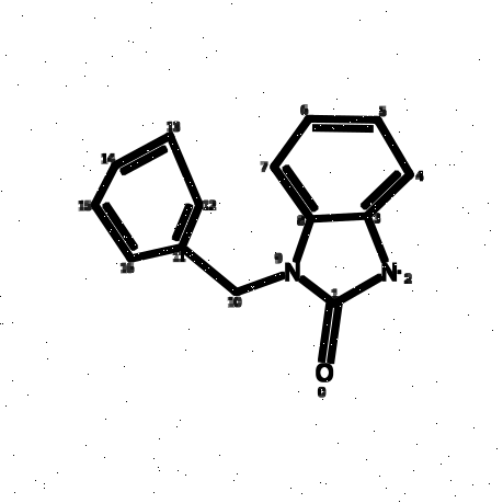 O=C1[N]c2ccccc2N1Cc1ccccc1